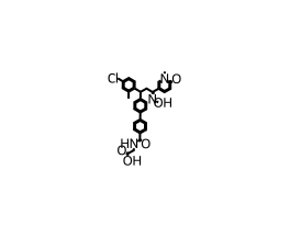 Cc1cc(Cl)ccc1C(CC(=NO)c1ccc(=O)n(C)c1)c1ccc(-c2ccc(C(=O)NCC(=O)O)cc2)cc1